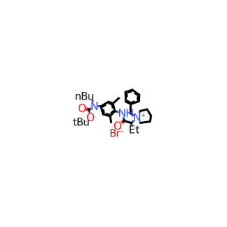 CCCCN(C(=O)OC(C)(C)C)c1cc(C)c(NC(=O)C(CC)[N+]2(Cc3ccccc3)CCCCC2)c(C)c1.[Br-]